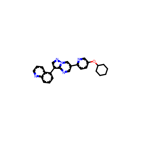 c1cc(-c2cnn3cc(-c4ccc(OC5CCCCC5)cn4)cnc23)c2cccnc2c1